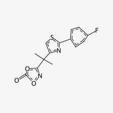 CC(C)(c1csc(-c2ccc(F)cc2)n1)c1noc(=O)o1